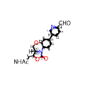 CC(=O)NC[C@@H]1OC(=O)N2c3ccc(-c4ccc(C=O)nc4)cc3OC[C@@H]12